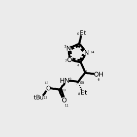 CCc1noc(C(O)[C@H](CC)NC(=O)OC(C)(C)C)n1